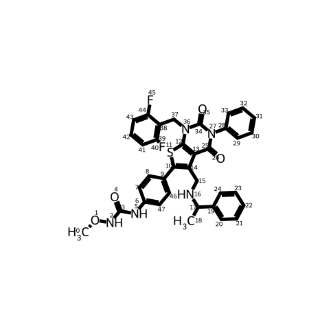 CONC(=O)Nc1ccc(-c2sc3c(c2CNC(C)c2ccccc2)c(=O)n(-c2ccccc2)c(=O)n3Cc2c(F)cccc2F)cc1